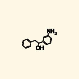 Nc1cccc(C(O)Cc2ccccc2)c1